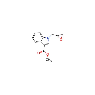 COC(=O)c1cn(CC2CO2)c2ccccc12